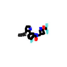 O=Cc1cccnc1-c1ccc(F)c(C(=O)NCc2ccc(OC(F)F)nc2)c1